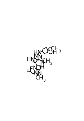 CC[C@]1(O)CC[C@@H](Nc2nc(NC)c3c(-c4ccc5nc(C)n(CC(F)F)c5n4)c[nH]c3n2)CC1